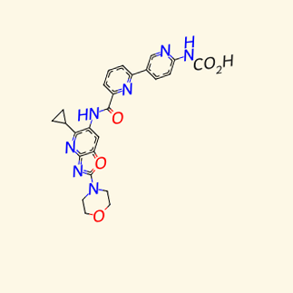 O=C(O)Nc1ccc(-c2cccc(C(=O)Nc3cc4oc(N5CCOCC5)nc4nc3C3CC3)n2)cn1